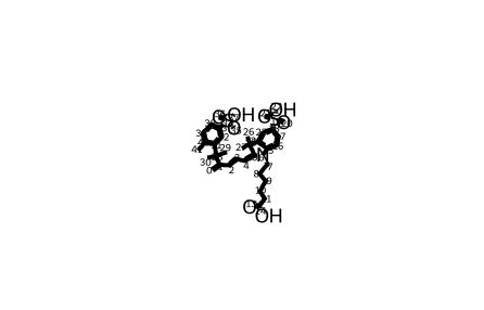 C=C(/C=C/C=C1/N(CCCCCC(=O)O)c2ccc(S(=O)(=O)O)cc2C1(C)C)C(C)(C)c1cc(S(=O)(=O)O)ccc1C